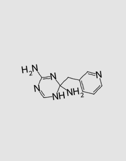 NC1=NC(N)(Cc2cccnc2)NC=N1